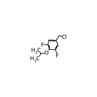 CC(C)Oc1c(F)cc(CCl)cc1F